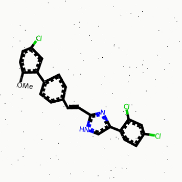 COc1ccc(Cl)cc1-c1ccc(/C=C/c2nc(-c3ccc(Cl)cc3Cl)c[nH]2)cc1